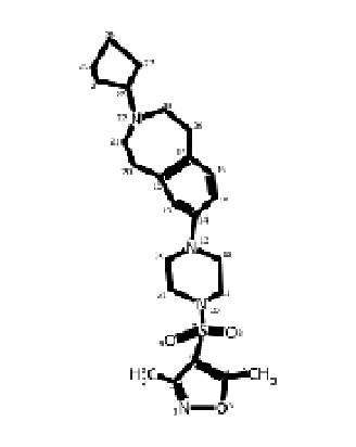 Cc1noc(C)c1S(=O)(=O)N1CCN(c2ccc3c(c2)CCN(C2CCCC2)CC3)CC1